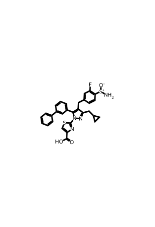 N[S+]([O-])c1ccc(Cc2c(CC3CC3)nn(-c3nc(C(=O)O)cs3)c2-c2cccc(-c3ccccc3)c2)cc1F